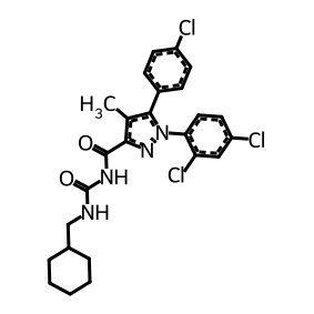 Cc1c(C(=O)NC(=O)NCC2CCCCC2)nn(-c2ccc(Cl)cc2Cl)c1-c1ccc(Cl)cc1